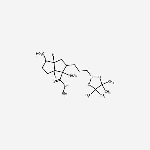 CC(=O)NC1(C(=O)NC(C)(C)C)C(CCCB2OC(C)(C)C(C)(C)O2)C[C@@H]2[C@H]1CCN2C(=O)O